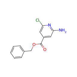 Nc1cc(C(=O)OCc2ccccc2)cc(Cl)n1